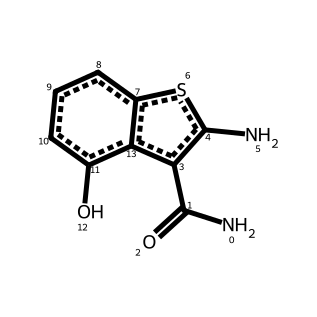 NC(=O)c1c(N)sc2cccc(O)c12